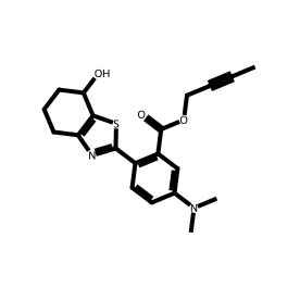 CC#CCOC(=O)c1cc(N(C)C)ccc1-c1nc2c(s1)C(O)CCC2